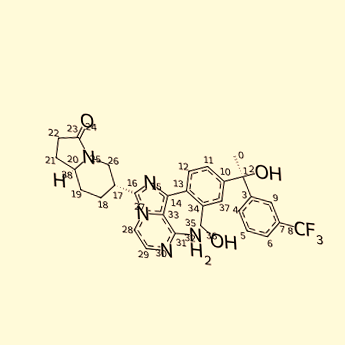 C[C@](O)(c1cccc(C(F)(F)F)c1)c1ccc(-c2nc([C@@H]3CC[C@H]4CCC(=O)N4C3)n3ccnc(N)c23)c(CO)c1